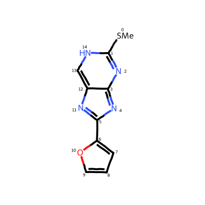 CSc1nc2nc(-c3ccco3)nc-2c[nH]1